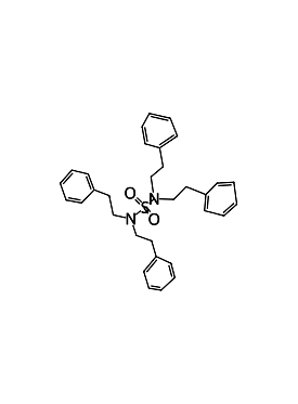 O=S(=O)(N(CCc1ccccc1)CCc1ccccc1)N(CCc1ccccc1)CCc1ccccc1